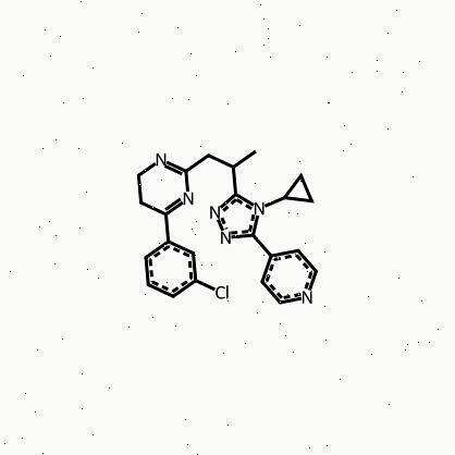 CC(CC1=NCCC(c2cccc(Cl)c2)=N1)c1nnc(-c2ccncc2)n1C1CC1